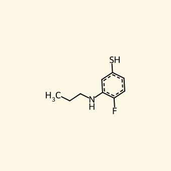 CCCNc1cc(S)ccc1F